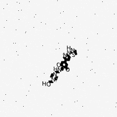 O=C1CC(c2ccc(Nc3nccs3)nc2)CC(=O)C1=CNCCN1CCN(CCO)CC1